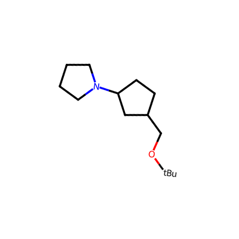 CC(C)(C)OCC1CCC(N2CCCC2)C1